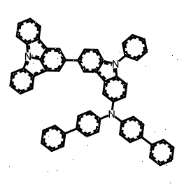 c1ccc(-c2ccc(N(c3ccc(-c4ccccc4)cc3)c3ccc4c(c3)c3cc(-c5cc6c7ccccc7n7c8ccccc8c(c5)c67)ccc3n4-c3ccccc3)cc2)cc1